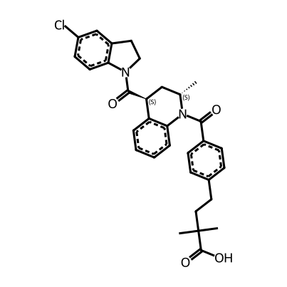 C[C@H]1C[C@H](C(=O)N2CCc3cc(Cl)ccc32)c2ccccc2N1C(=O)c1ccc(CCC(C)(C)C(=O)O)cc1